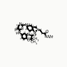 CNC(=O)CCn1cc2cc(Nc3ncc(F)c(Nc4ccc5c(c4)NC(=O)C(C)(C)O5)n3)ccc2n1